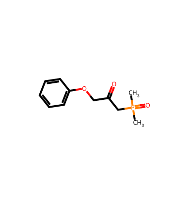 CP(C)(=O)CC(=O)COc1ccccc1